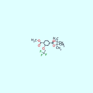 COC(=O)c1ccc(B2OC(C)(C)C(C)(C)O2)cc1OCC(F)(F)F